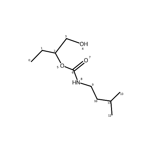 CCC(CO)OC(=O)NCCC(C)C